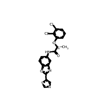 C[C@@H](Oc1cccc(Cl)c1Cl)C(=O)Nc1ccc2oc(-c3cncs3)nc2c1